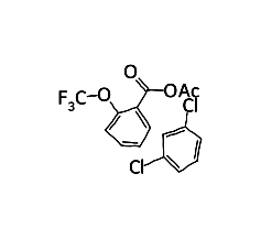 CC(=O)OC(=O)c1ccccc1OC(F)(F)F.Clc1cccc(Cl)c1